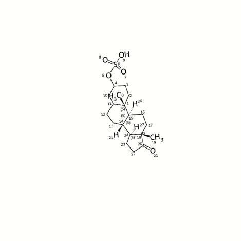 C[C@]12CCC(OS(=O)(=O)O)CC1CC[C@@H]1[C@@H]2CC[C@]2(C)C(=O)CC[C@@H]12